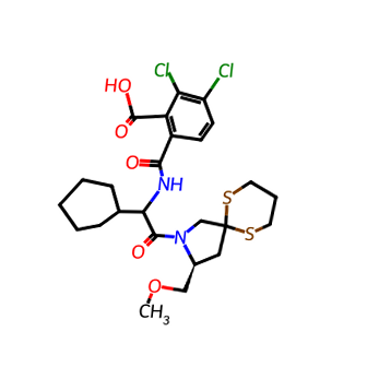 COC[C@@H]1CC2(CN1C(=O)C(NC(=O)c1ccc(Cl)c(Cl)c1C(=O)O)C1CCCCC1)SCCCS2